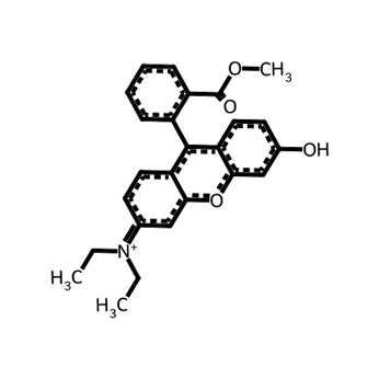 CC[N+](CC)=c1ccc2c(-c3ccccc3C(=O)OC)c3ccc(O)cc3oc-2c1